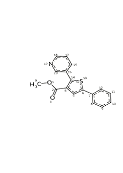 COC(=O)c1cc(-c2ccccc2)sc1-c1cccnc1